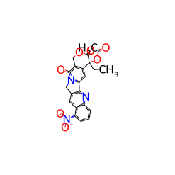 CCC1(OC(C)=O)C(=O)OCc2c1cc1n(c2=O)Cc2cc3c([N+](=O)[O-])cccc3nc2-1